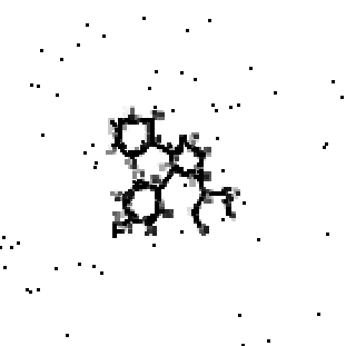 CCC(SC)n1cnc(-c2ccncc2)c1-c1ccc(F)cc1